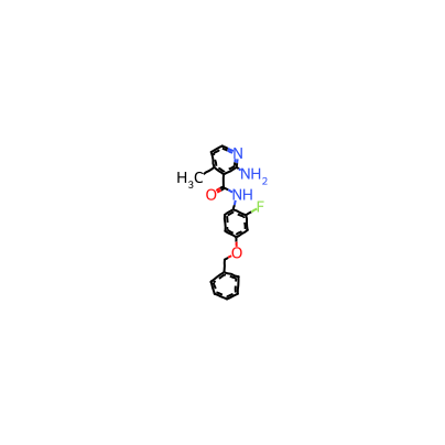 Cc1ccnc(N)c1C(=O)Nc1ccc(OCc2ccccc2)cc1F